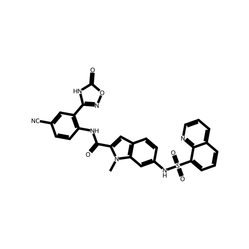 Cn1c(C(=O)Nc2ccc(C#N)cc2-c2noc(=O)[nH]2)cc2ccc(NS(=O)(=O)c3cccc4cccnc34)cc21